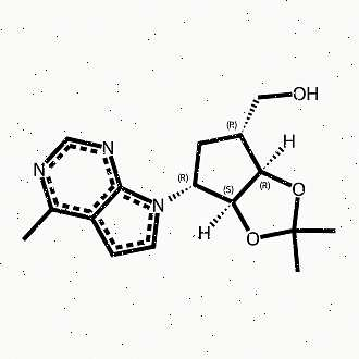 Cc1ncnc2c1ccn2[C@@H]1C[C@H](CO)[C@H]2OC(C)(C)O[C@H]21